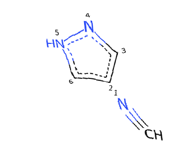 C#N.c1cn[nH]c1